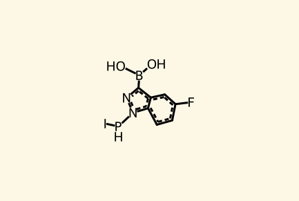 OB(O)c1nn(PI)c2ccc(F)cc12